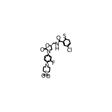 O=C(NC[C@H]1CN(c2ccc(N3CCS(=O)(=O)CC3)c(F)c2)C(=O)O1)C1=CC(Cl)=CCC1=S